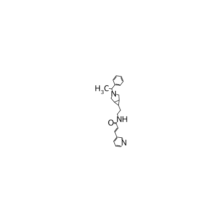 CC(c1ccccc1)N1CC2C(CCNC(=O)/C=C/c3cccnc3)C2C1